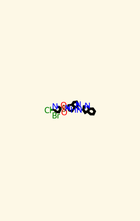 O=S(=O)(c1cnc(Cl)c(Br)c1)N1CCc2c(ccnc2Nc2cnc3ccccc3c2)C1